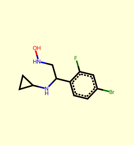 ONCC(NC1CC1)c1ccc(Br)cc1F